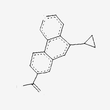 O=C(O)c1ccc2c(c1)cc(C1CC1)c1ccncc12